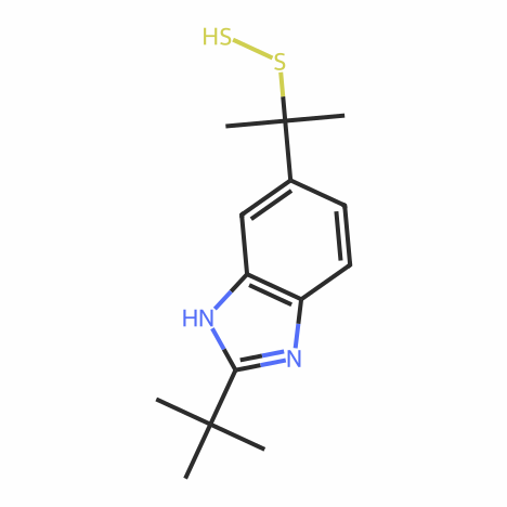 CC(C)(C)c1nc2ccc(C(C)(C)SS)cc2[nH]1